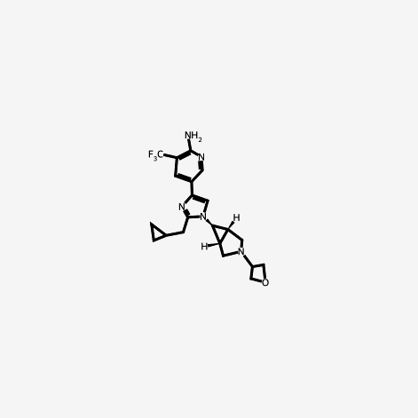 Nc1ncc(-c2cn([C@H]3[C@@H]4CN(C5COC5)C[C@@H]43)c(CC3CC3)n2)cc1C(F)(F)F